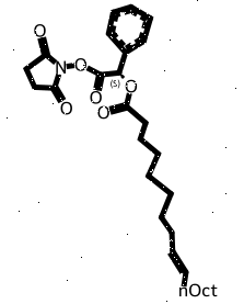 CCCCCCCCC=CCCCCCCCC(=O)O[C@H](C(=O)ON1C(=O)CCC1=O)c1ccccc1